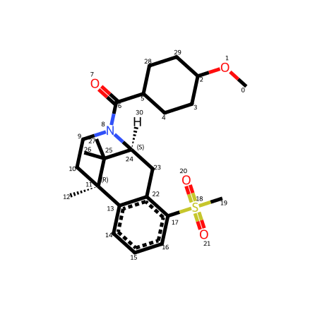 COC1CCC(C(=O)N2CC[C@]3(C)c4cccc(S(C)(=O)=O)c4C[C@H]2C3(C)C)CC1